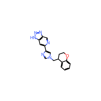 c1ccc2c(c1)OCCC2Cn1cnc(-c2cc3[nH]nnc3cn2)c1